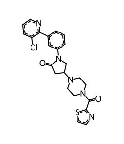 O=C(c1nccs1)N1CCN(C2CC(=O)N(c3cccc(-c4ncccc4Cl)c3)C2)CC1